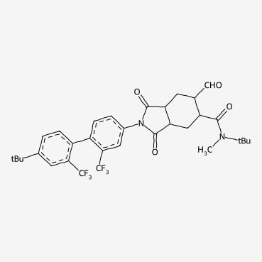 CN(C(=O)C1CC2C(=O)N(c3ccc(-c4ccc(C(C)(C)C)cc4C(F)(F)F)c(C(F)(F)F)c3)C(=O)C2CC1C=O)C(C)(C)C